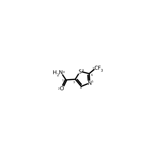 NC(=O)c1cnc(C(F)(F)F)s1